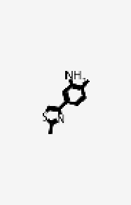 Cc1nc(-c2ccc(C)c(N)c2)cs1